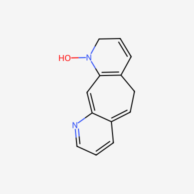 ON1CC=CC2=C1C=c1ncccc1=CC2